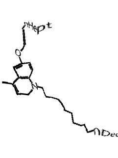 CCCCCCCC=COc1ccc2c(c1)C(C)=CCN2CCCCCCCCCCCCCCCCCC